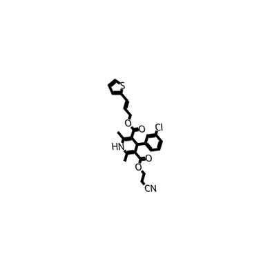 CC1=C(C(=O)OC/C=C/c2cccs2)C(c2cccc(Cl)c2)C(C(=O)OCCC#N)=C(C)N1